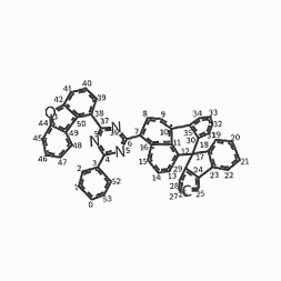 c1ccc(-c2nc(-c3ccc4c5c(cccc35)C3(c5ccccc5-c5ccccc53)c3ccccc3-4)nc(-c3cccc4oc5ccccc5c34)n2)cc1